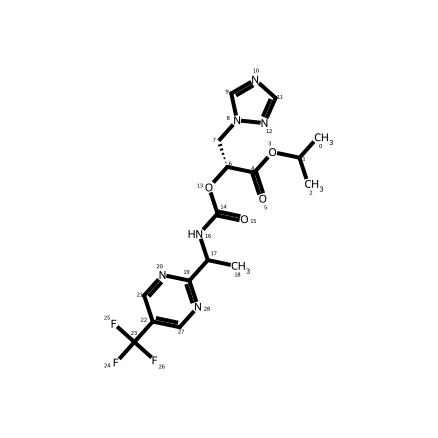 CC(C)OC(=O)[C@@H](Cn1cncn1)OC(=O)NC(C)c1ncc(C(F)(F)F)cn1